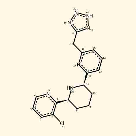 Clc1cccnc1[C@@H]1CCC[C@H](c2cccc(Cc3nn[nH]n3)n2)N1